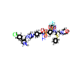 CN1CCC(c2ccc(Cl)cc2)=C(CN2CCN(c3ccc(C(=O)NS(=O)(=O)c4ccc(N[C@H](CCN5CCOCC5)CSc5ccccc5)c(S(=O)(=O)C(F)(F)F)c4)cc3)CC2)C1